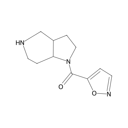 O=C(c1ccno1)N1CCC2CNCCC21